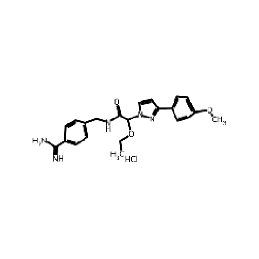 CCOC(C(=O)NCc1ccc(C(=N)N)cc1)n1ccc(-c2ccc(OC)cc2)n1.Cl